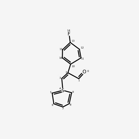 O=CC(=CS1=CC=CC=C1)c1ccc(F)cc1